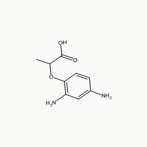 CC(Oc1ccc(N)cc1N)C(=O)O